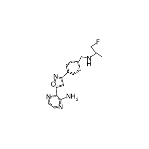 CC(CF)NCc1ccc(-c2cc(-c3nccnc3N)on2)cc1